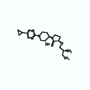 CC[C@H](N)CO[C@@H]1CCN([C@@H]2CCN(c3ncc(C4CC4)cn3)C[C@H]2O)C1=O